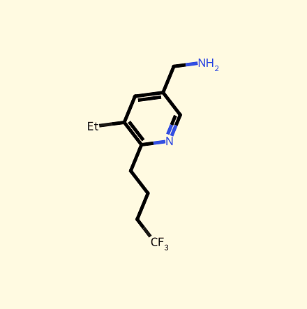 CCc1cc(CN)cnc1CCCC(F)(F)F